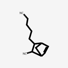 N#CCCCCC1C2C=CC(C2)C1C#N